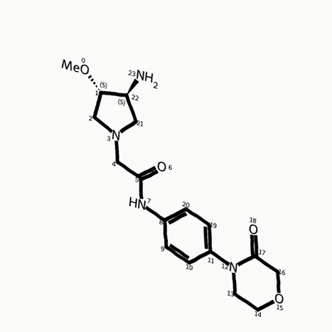 CO[C@H]1CN(CC(=O)Nc2ccc(N3CCOCC3=O)cc2)C[C@@H]1N